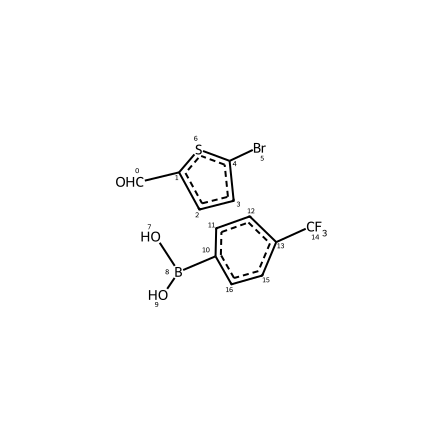 O=Cc1ccc(Br)s1.OB(O)c1ccc(C(F)(F)F)cc1